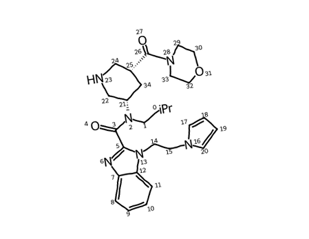 CC(C)CN(C(=O)c1nc2ccccc2n1CCn1cccc1)[C@@H]1CNC[C@H](C(=O)N2CCOCC2)C1